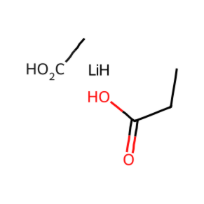 CC(=O)O.CCC(=O)O.[LiH]